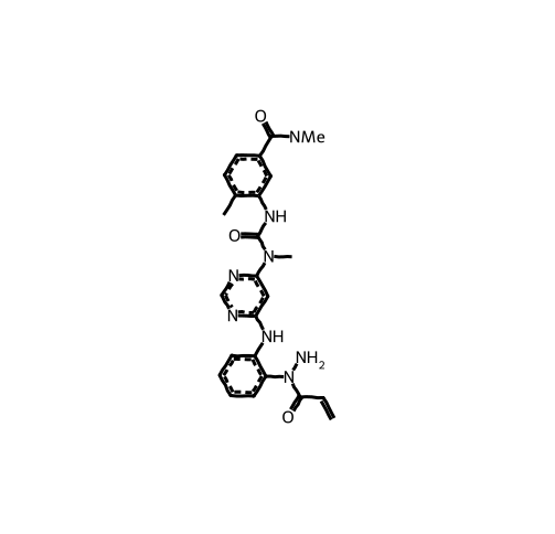 C=CC(=O)N(N)c1ccccc1Nc1cc(N(C)C(=O)Nc2cc(C(=O)NC)ccc2C)ncn1